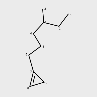 CCC(C)CCCC1=CC1